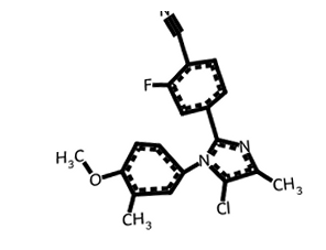 COc1ccc(-n2c(-c3ccc(C#N)c(F)c3)nc(C)c2Cl)cc1C